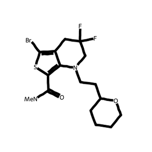 CNC(=O)c1sc(Br)c2c1N(CCC1CCCCO1)CC(F)(F)C2